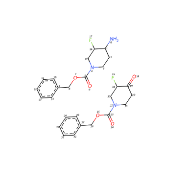 NC1CCN(C(=O)OCc2ccccc2)CC1F.O=C1CCN(C(=O)OCc2ccccc2)CC1F